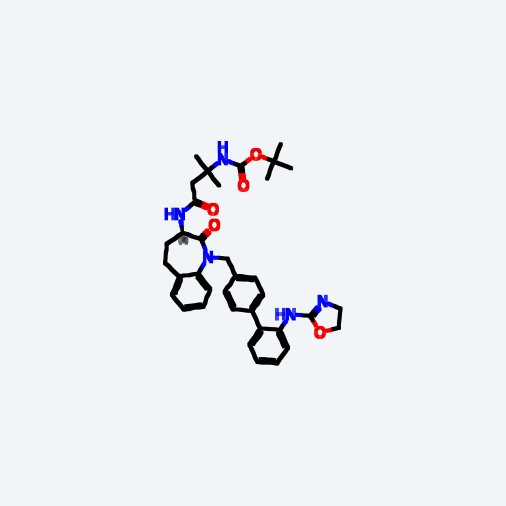 CC(C)(CC(=O)N[C@@H]1CCc2ccccc2N(Cc2ccc(-c3ccccc3NC3=NCCO3)cc2)C1=O)NC(=O)OC(C)(C)C